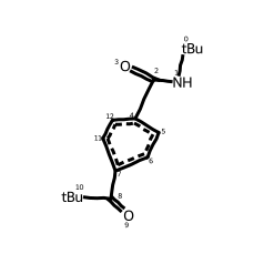 CC(C)(C)NC(=O)c1ccc(C(=O)C(C)(C)C)cc1